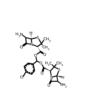 CC1(C)S[C@@H]2C(N)C(=O)N2[C@H]1C(=O)OC(OC(=O)[C@@H]1N2C(=O)C(N)[C@H]2SC1(C)C)c1ccc(Cl)cc1